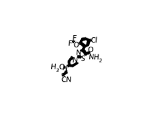 CN(CCC#N)C1CCN(c2nc(-c3cc(Cl)ccc3OC(F)F)c(C(N)=O)s2)CC1